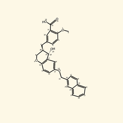 COc1ccc(C[C@@H]2COc3ccc(OCc4ccc5ccccc5n4)cc3[C@H]2O)cc1C(=O)O